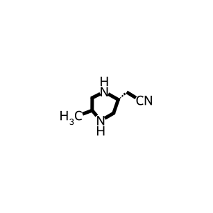 CC1CN[C@H](CC#N)CN1